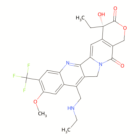 CCNCc1c2c(nc3cc(C(F)(F)F)c(OC)cc13)-c1cc3c(c(=O)n1C2)COC(=O)[C@]3(O)CC